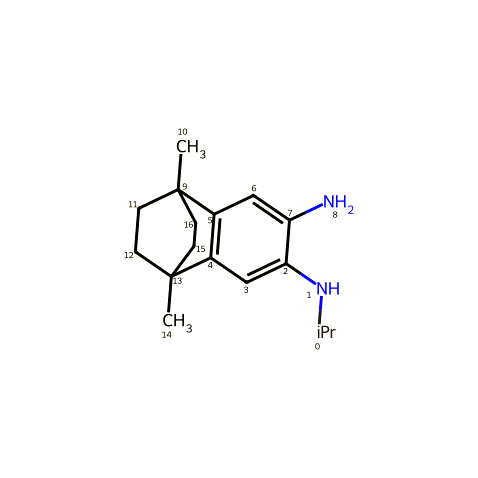 CC(C)Nc1cc2c(cc1N)C1(C)CCC2(C)CC1